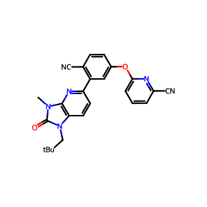 Cn1c(=O)n(CC(C)(C)C)c2ccc(-c3cc(Oc4cccc(C#N)n4)ccc3C#N)nc21